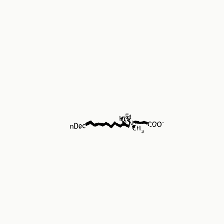 CCCCCCCCCCCCCCCCCCC(C[N+](C)(C)CCCC(=O)[O-])OCC